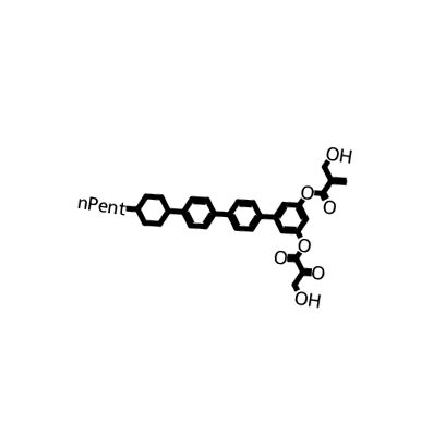 C=C(CO)C(=O)Oc1cc(OC(=O)C(=O)CO)cc(-c2ccc(-c3ccc(C4CCC(CCCCC)CC4)cc3)cc2)c1